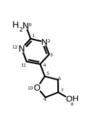 Nc1ncc(C2CC(O)CO2)cn1